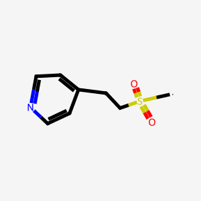 [CH2]S(=O)(=O)CCc1ccncc1